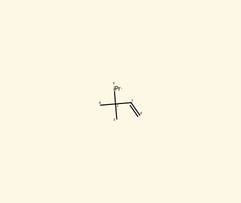 C=CC(C)(C)[C](C)C